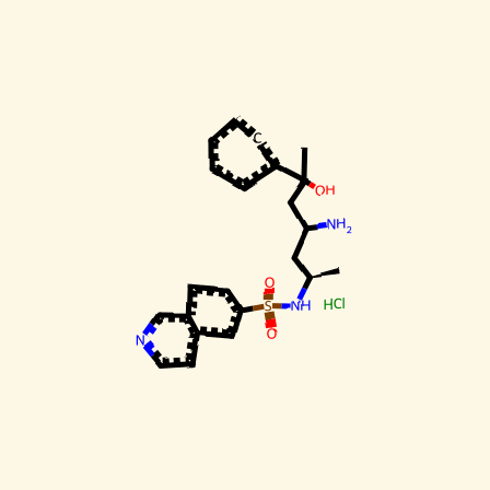 C[C@H](CC(N)CC(C)(O)c1ccccc1)NS(=O)(=O)c1ccc2cnccc2c1.Cl